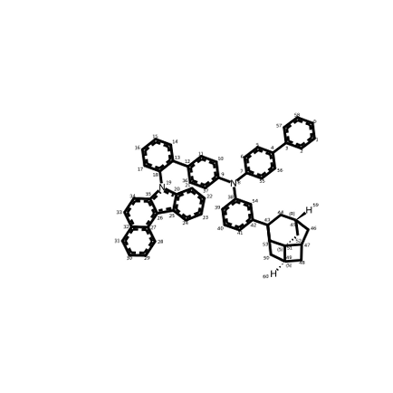 c1ccc(-c2ccc(N(c3ccc(-c4ccccc4-n4c5ccccc5c5c6ccccc6ccc54)cc3)c3cccc(C45C[C@@H]6CC7C[C@@H](C4)[C@@]7(C6)C5)c3)cc2)cc1